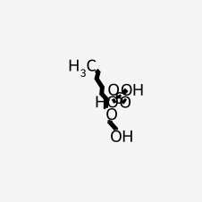 CCCCCCCOCCO.O=S(=O)(O)O